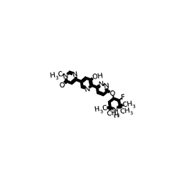 Cn1cnc(-c2cnc(-c3ccc(O[C@@H]4CC(C)(C)NC(C)(C)[C@@H]4F)nn3)c(O)c2)cc1=O